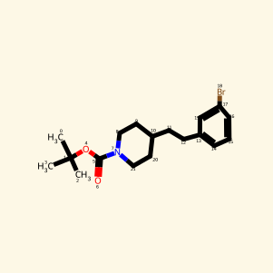 CC(C)(C)OC(=O)N1CCC(CCc2cccc(Br)c2)CC1